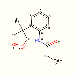 CCC(CO)(CO)c1ccccc1NC(=O)COC(C)=O